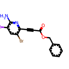 Nc1nc(C#CC(=O)OCc2ccccc2)c(Br)cc1I